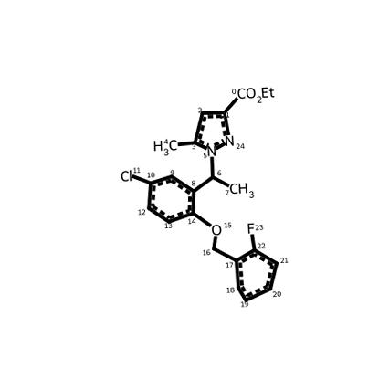 CCOC(=O)c1cc(C)n(C(C)c2cc(Cl)ccc2OCc2ccccc2F)n1